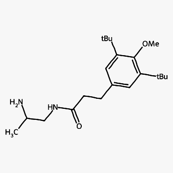 COc1c(C(C)(C)C)cc(CCC(=O)NCC(C)N)cc1C(C)(C)C